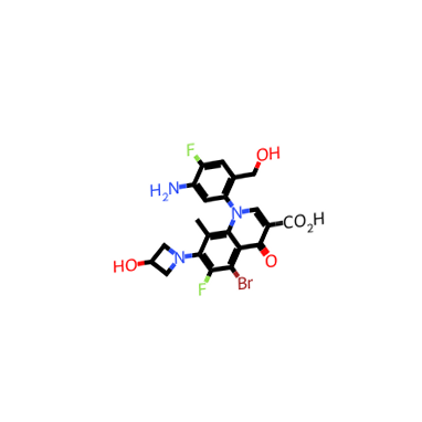 Cc1c(N2CC(O)C2)c(F)c(Br)c2c(=O)c(C(=O)O)cn(-c3cc(N)c(F)cc3CO)c12